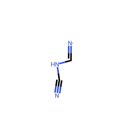 [N]=CNC#N